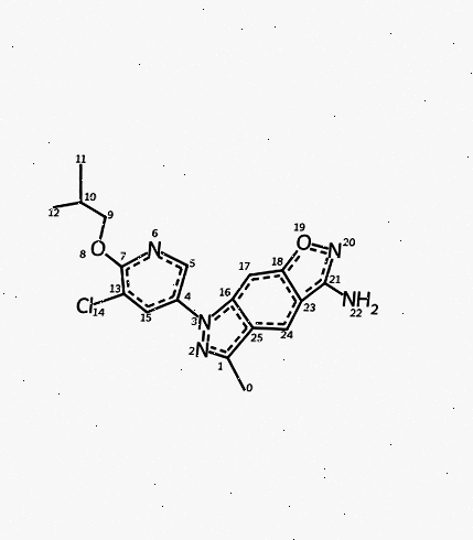 Cc1nn(-c2cnc(OCC(C)C)c(Cl)c2)c2cc3onc(N)c3cc12